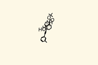 Cc1cccc(C#C[C@]2(O)CCC[C@@H]3[C@H]2CCN3C(=O)OC(C)(C)C)c1